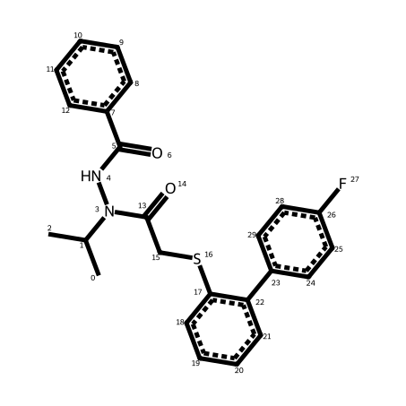 CC(C)N(NC(=O)c1ccccc1)C(=O)CSc1ccccc1-c1ccc(F)cc1